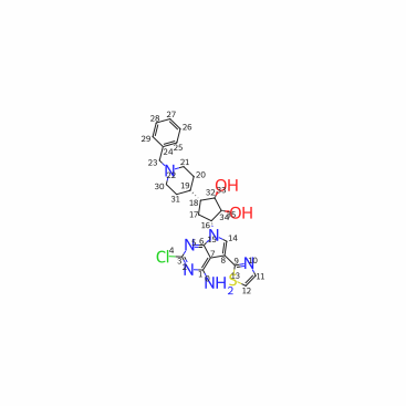 Nc1nc(Cl)nc2c1c(-c1nccs1)cn2[C@@H]1C[C@H](C2CCN(Cc3ccccc3)CC2)[C@@H](O)[C@H]1O